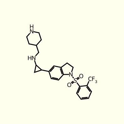 O=S(=O)(c1ccccc1C(F)(F)F)N1CCc2cc(C3CC3NCC3CCNCC3)ccc21